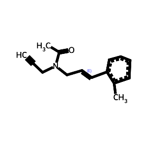 C#CCN(C/C=C/c1ccccc1C)C(C)=O